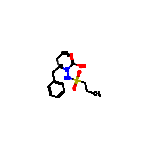 CCCS(=O)(=O)NN(C(=O)O)[C@@H](CC)Cc1ccccc1